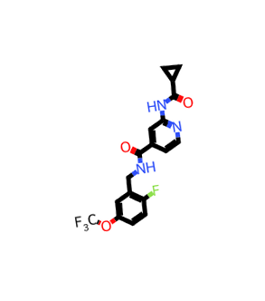 O=C(NCc1cc(OC(F)(F)F)ccc1F)c1ccnc(NC(=O)C2CC2)c1